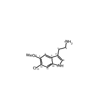 COc1cc2c(CCN)c[nH]c2cc1Cl